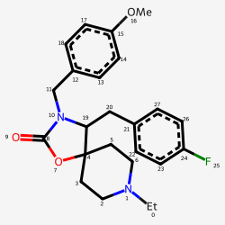 CCN1CCC2(CC1)OC(=O)N(Cc1ccc(OC)cc1)C2Cc1ccc(F)cc1